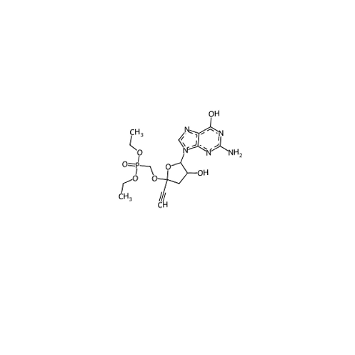 C#CC1(OCP(=O)(OCC)OCC)CC(O)C(n2cnc3c(O)nc(N)nc32)O1